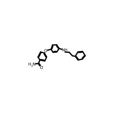 NC(=O)c1ccc(Oc2ccc(NCCCc3ccccc3)cc2)cc1